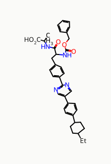 CCC1CCC(c2ccc(-c3cnc(-c4ccc(CC(NC(=O)OCc5ccccc5)C(=O)NC(C)C(=O)O)cc4)nc3)cc2)CC1